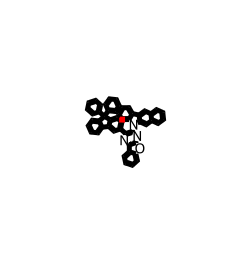 c1ccc(C2(c3ccccc3)c3ccccc3-c3cc(-c4nc5c(nc4-n4c6ccccc6c6cc7ccccc7cc64)oc4ccccc45)ccc32)cc1